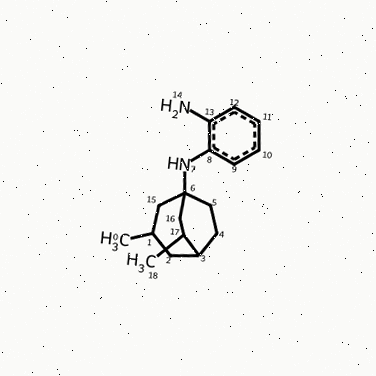 CC1CC2CCC(Nc3ccccc3N)(C1)CC2C